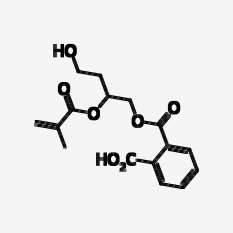 C=C(C)C(=O)OC(CCO)COC(=O)c1ccccc1C(=O)O